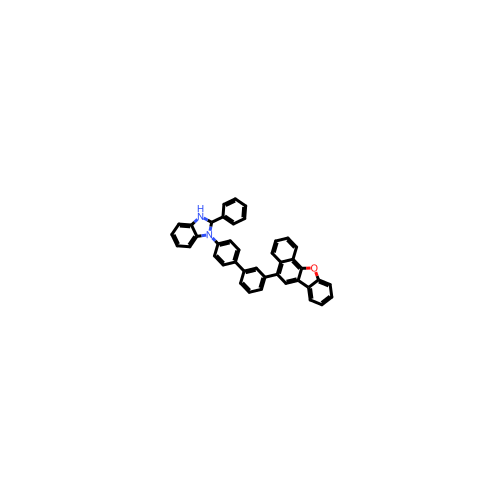 c1ccc(C2Nc3ccccc3N2c2ccc(-c3cccc(-c4cc5c6ccccc6oc5c5ccccc45)c3)cc2)cc1